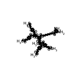 COC(=O)C=Cc1ccc(C(=O)OCC(C)(COC(=O)c2ccc(C=CC(=O)OC)cc2)C(=O)Oc2cc(OC(=O)C(C)(COC(=O)c3ccc(C=CC(=O)OC)cc3)COC(=O)c3ccc(C=CC(=O)OC)cc3)cc(C(=O)OCCCCCCCCOC(=O)c3cc(N)cc(N)c3)c2)cc1